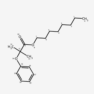 CCCCCCCCOC(=O)C(C)(C)Oc1ccccc1